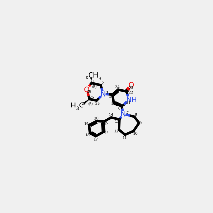 C[C@@H]1CN(c2cc(N3CCCCCC3Cc3ccccc3)[nH]c(=O)c2)C[C@@H](C)O1